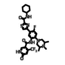 CC1CN(c2cc(F)c(-c3csc(C(=O)NC4CCCCC4)n3)cc2NC(=O)c2c[nH]c(=O)cc2C(F)(F)F)CC(C)N1C